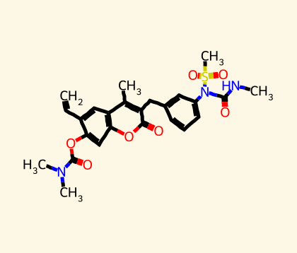 C=Cc1cc2c(C)c(Cc3cccc(N(C(=O)NC)S(C)(=O)=O)c3)c(=O)oc2cc1OC(=O)N(C)C